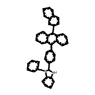 c1ccc(N2c3ccccc3NC2c2ccc(-c3c4ccccc4c(-c4ccc5ccccc5c4)c4ccccc34)cc2)cc1